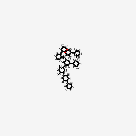 Cc1cnc(-c2cc(-c3ccccc3)cc(N(c3cccc(-c4ccccn4)c3)c3ccccc3-c3ccccc3)c2)cc1-c1ccc(-c2ccccc2)cc1